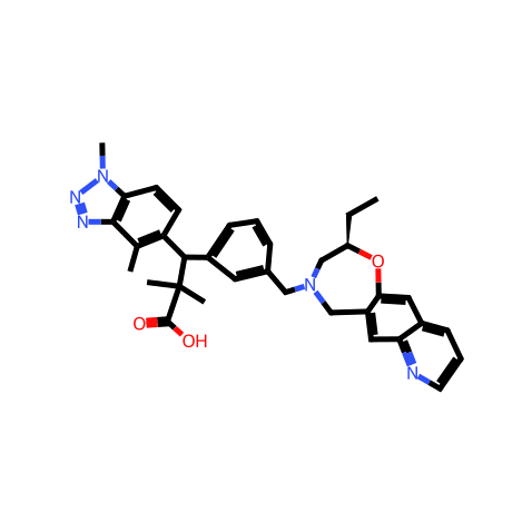 CC[C@@H]1CN(Cc2cccc(C(c3ccc4c(nnn4C)c3C)C(C)(C)C(=O)O)c2)Cc2cc3ncccc3cc2O1